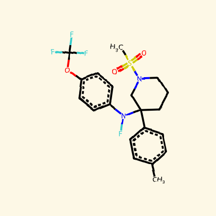 Cc1ccc(C2(N(F)c3ccc(OC(F)(F)F)cc3)CCCN(S(C)(=O)=O)C2)cc1